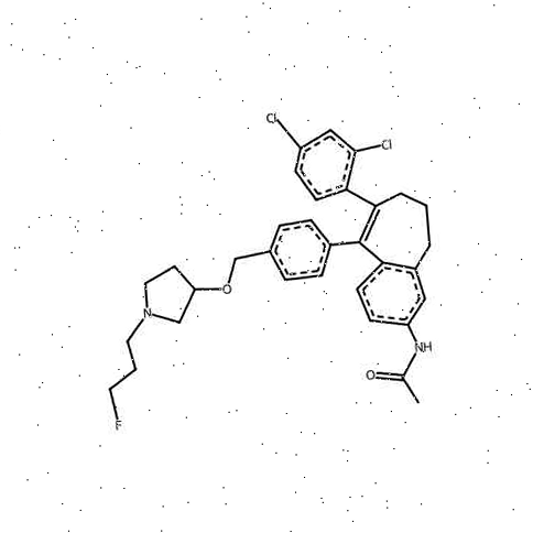 CC(=O)Nc1ccc2c(c1)CCCC(c1ccc(Cl)cc1Cl)=C2c1ccc(COC2CCN(CCCF)C2)cc1